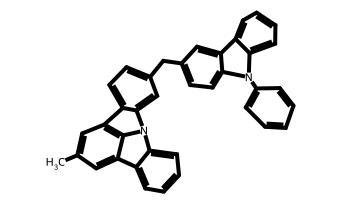 Cc1cc2c3ccccc3n3c4cc(Cc5ccc6c(c5)c5ccccc5n6-c5ccccc5)ccc4c(c1)c23